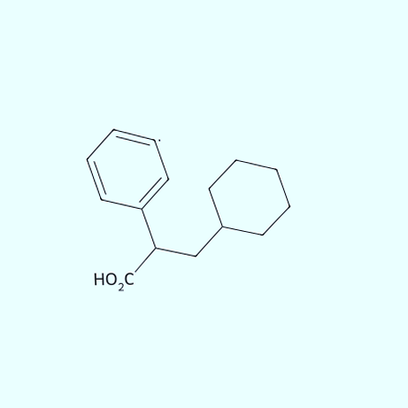 O=C(O)C(CC1CCCCC1)c1c[c]ccc1